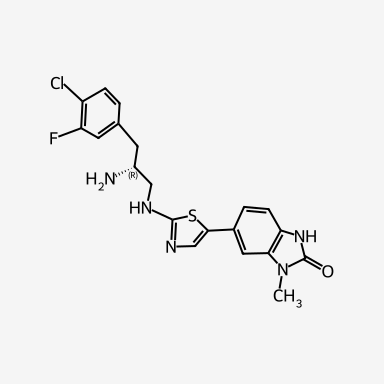 Cn1c(=O)[nH]c2ccc(-c3cnc(NC[C@H](N)Cc4ccc(Cl)c(F)c4)s3)cc21